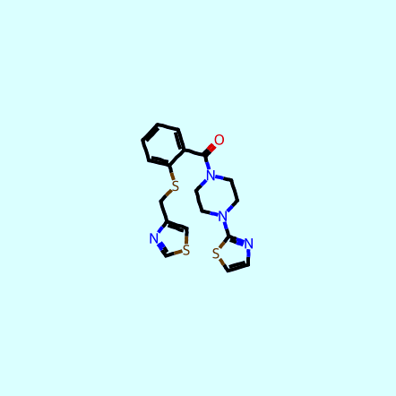 O=C(c1ccccc1SCc1cscn1)N1CCN(c2nccs2)CC1